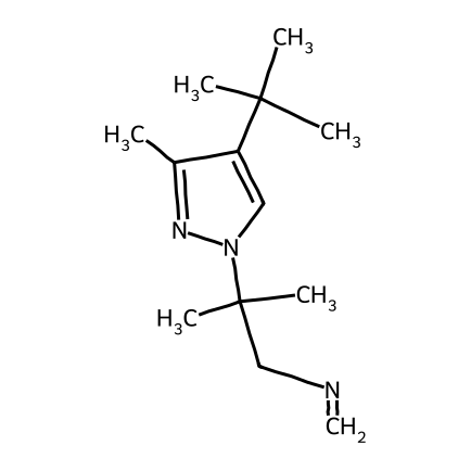 C=NCC(C)(C)n1cc(C(C)(C)C)c(C)n1